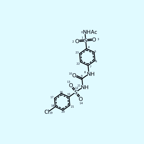 CC(=O)NS(=O)(=O)c1ccc(NC(=O)NS(=O)(=O)c2ccc(Cl)cc2)cc1